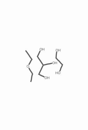 CCOCC.OCC(O)CO.OCCO